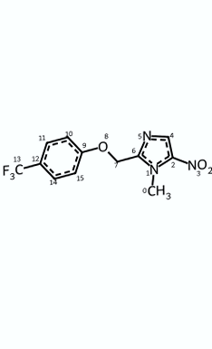 Cn1c([N+](=O)[O-])cnc1COc1ccc(C(F)(F)F)cc1